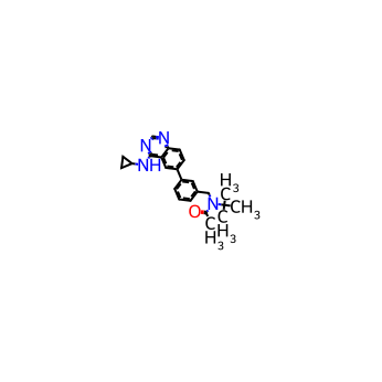 CC(=O)N(Cc1cccc(-c2ccc3ncnc(NC4CC4)c3c2)c1)C(C)(C)C